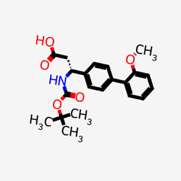 COc1ccccc1-c1ccc([C@@H](CC(=O)O)NC(=O)OC(C)(C)C)cc1